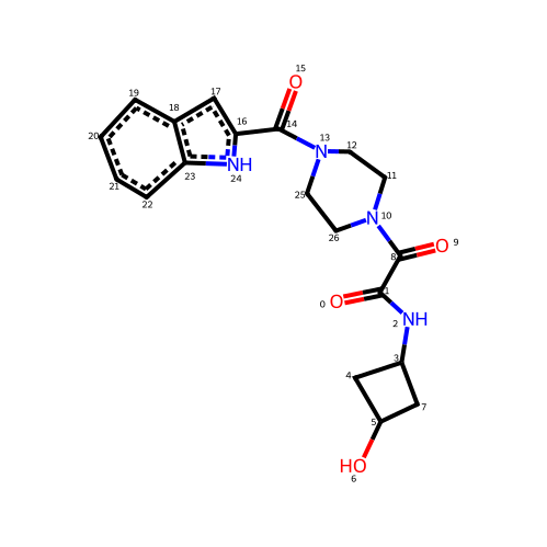 O=C(NC1CC(O)C1)C(=O)N1CCN(C(=O)c2cc3ccccc3[nH]2)CC1